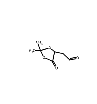 CC1(C)OC(=O)C(C[C]=O)O1